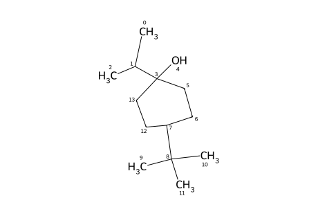 CC(C)C1(O)CCC(C(C)(C)C)CC1